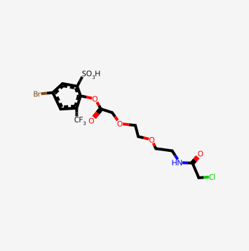 O=C(CCl)NCCOCCOCC(=O)Oc1c(C(F)(F)F)cc(Br)cc1S(=O)(=O)O